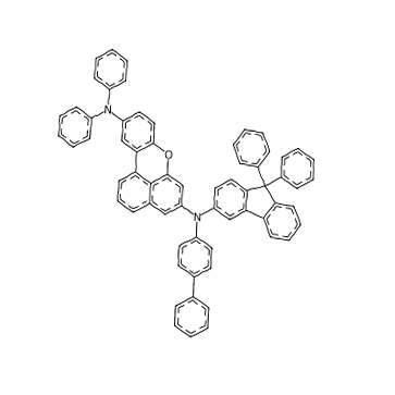 c1ccc(-c2ccc(N(c3ccc4c(c3)-c3ccccc3C4(c3ccccc3)c3ccccc3)c3cc4c5c(cccc5c3)-c3cc(N(c5ccccc5)c5ccccc5)ccc3O4)cc2)cc1